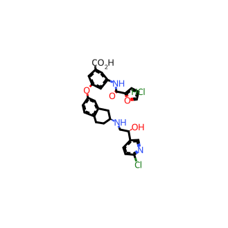 Cl.O=C(O)c1cc(NC(=O)c2ccco2)cc(Oc2ccc3c(c2)C[C@@H](NC[C@H](O)c2ccc(Cl)nc2)CC3)c1